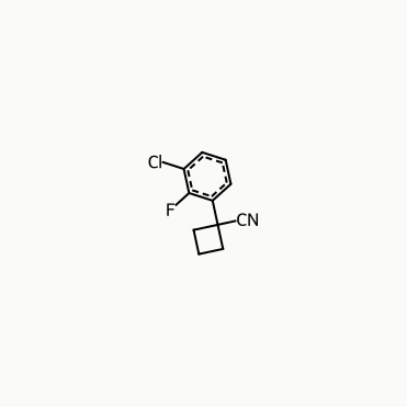 N#CC1(c2cccc(Cl)c2F)CCC1